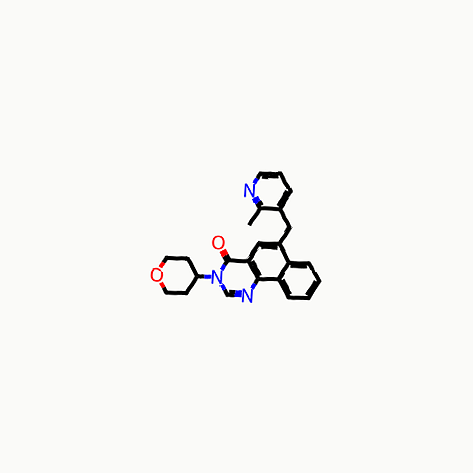 Cc1ncccc1Cc1cc2c(=O)n(C3CCOCC3)cnc2c2ccccc12